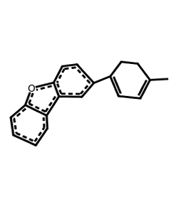 CC1=CC=C(c2ccc3oc4ccccc4c3c2)CC1